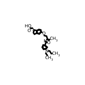 CCCN(CCC)c1cccc(-c2nc(CCOc3ccc4c(c3)CC[C@H]4CC(=O)O)c(C)o2)c1